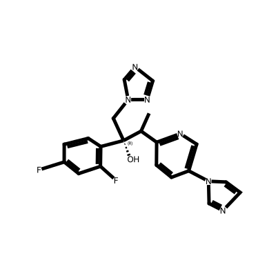 CC(c1ccc(-n2ccnc2)cn1)[C@](O)(Cn1cncn1)c1ccc(F)cc1F